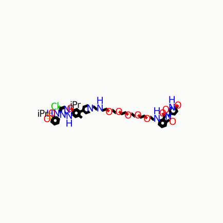 Cc1cc(Nc2ncc(Cl)c(Nc3ccccc3S(=O)(=O)C(C)C)n2)c(OC(C)C)cc1C1CCN(CCNCCOCCOCCOCCOCCOCCNc2cccc3c2C(=O)N(C2CCC(=O)NC2=O)C3=O)CC1